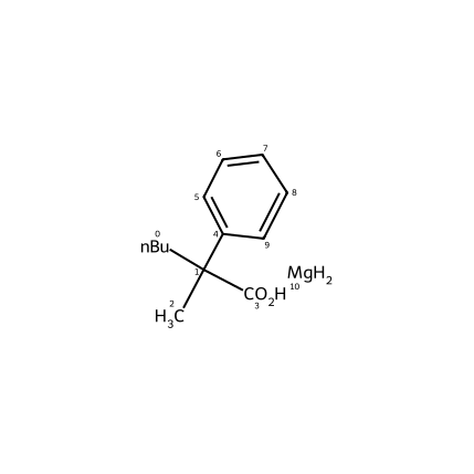 CCCCC(C)(C(=O)O)c1ccccc1.[MgH2]